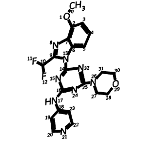 COc1cccc2c1nc(C(F)F)n2-c1nc(Nc2ccncc2)nc(N2CCOCC2)n1